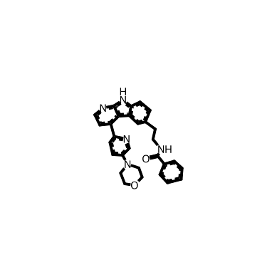 O=C(NCCc1ccc2[nH]c3nccc(-c4ccc(N5CCOCC5)cn4)c3c2c1)c1ccccc1